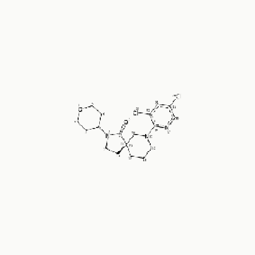 O=C1N(C2CCOCC2)CC[C@@]12CCCN(c1ncc(Cl)cc1Cl)C2